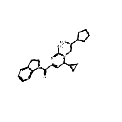 N[C@H](CN(C(=O)C(F)(F)F)[C@H](/C=C/C(=O)N1CCc2ccccc21)C1CC1)C1CCCC1